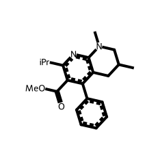 COC(=O)c1c(C(C)C)nc2c(c1-c1ccccc1)CC(C)CN2C